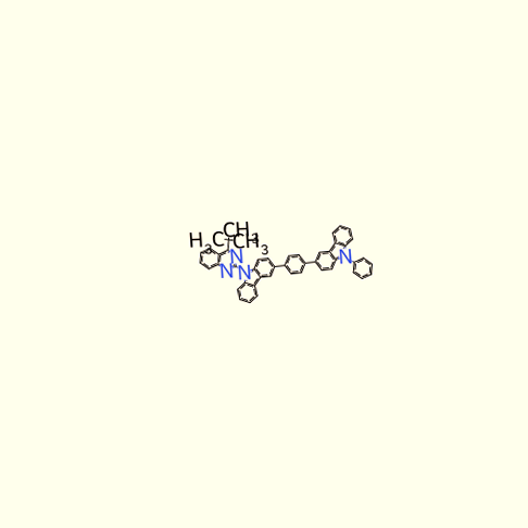 CC(C)(C)c1nc(-n2c3ccccc3c3cc(-c4ccc(-c5ccc6c(c5)c5ccccc5n6-c5ccccc5)cc4)ccc32)nc2ccccc12